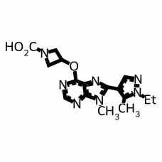 CCn1ncc(-c2nc3c(OC4CN(C(=O)O)C4)ncnc3n2C)c1C